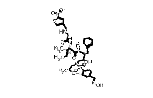 CC[C@H](C)[C@H](NC(=O)CNCc1csc([N+](=O)[O-])c1)C(=O)N[C@@H](Cc1ccccc1)[C@H](O)CN(CC(C)C)S(=O)(=O)c1ccc(C=NO)cc1